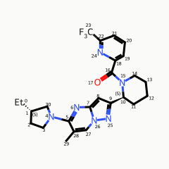 CC[C@H]1CCN(c2nc3cc([C@@H]4CCCCN4C(=O)c4cccc(C(F)(F)F)n4)nn3cc2C)C1